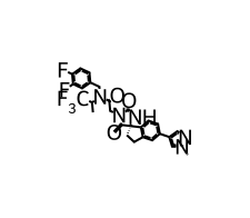 CC(N(Cc1ccc(F)c(F)c1)C(=O)CN1C(=O)N[C@]2(CCc3cc(-c4cnn(C)c4)ccc32)C1=O)C(F)(F)F